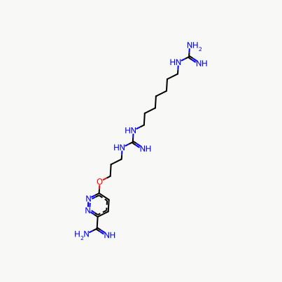 N=C(N)NCCCCCCCNC(=N)NCCCOc1ccc(C(=N)N)nn1